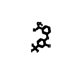 CC(Br)c1cccc(Oc2ccc(C(F)(F)F)cc2Cl)c1